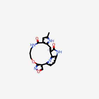 Cc1cc2c([nH]1)/C=C1\C(=O)Nc3ccc(nc31)-c1conc1OCCCNC2=O